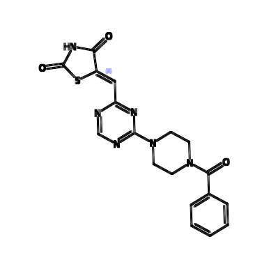 O=C1NC(=O)/C(=C/c2ncnc(N3CCN(C(=O)c4ccccc4)CC3)n2)S1